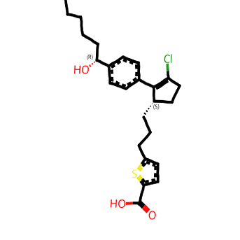 CCCCC[C@@H](O)c1ccc(C2=C(Cl)CC[C@@H]2CCCc2ccc(C(=O)O)s2)cc1